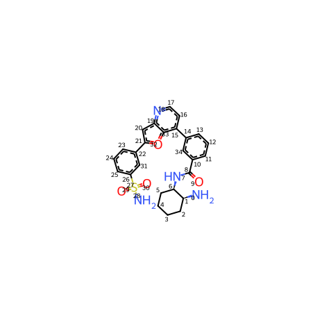 N[C@H]1CCCC[C@H]1NC(=O)c1cccc(-c2ccnc3cc(-c4cccc(S(N)(=O)=O)c4)oc23)c1